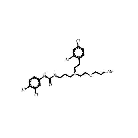 COCCOCCN(CCCNC(=O)Nc1ccc(Cl)c(Cl)c1)CCc1ccc(Cl)cc1Cl